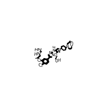 C[C@@H](CNC=N)Oc1cc(-c2cnc(Nc3cn(C4CCC(N5CCOCC5)CC4)nc3OCCO)nc2)ccc1Cl